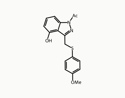 COc1ccc(SCc2nn(C(C)=O)c3cccc(O)c23)cc1